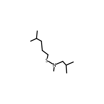 CC(C)CCCSN(C)CC(C)C